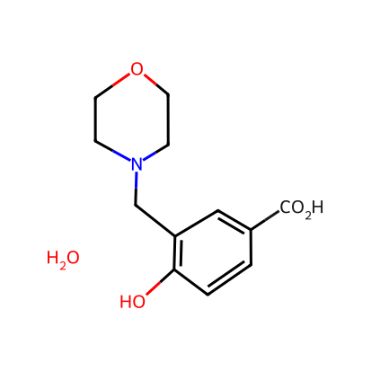 O.O=C(O)c1ccc(O)c(CN2CCOCC2)c1